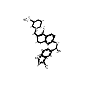 CC(C)[C@H](Oc1ccc2c(c1)CCC(CN1CCCC(C(=O)O)C1)=C2Cl)c1ccc2[nH]nc(Cl)c2c1